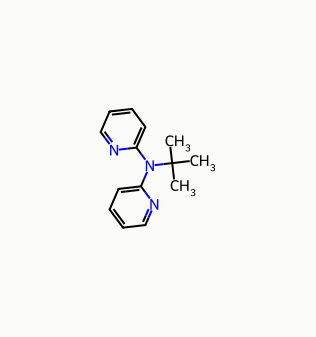 CC(C)(C)N(c1ccccn1)c1ccccn1